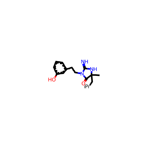 CC(C)CC1(C)NC(=N)N(CCc2cccc(O)c2)C1=O